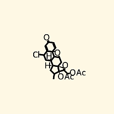 CC(=O)OCC(=O)[C@@]1(OC(C)=O)C(C)C[C@H]2[C@@H]3CC(Cl)C4=CC(=O)C=C[C@]4(C)[C@]34OC4C[C@@]21C